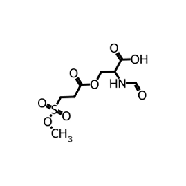 COS(=O)(=O)CCC(=O)OCC(NC=O)C(=O)O